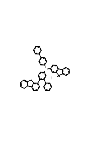 CC1(C)c2ccccc2-c2ccc(N(c3ccc(-c4ccccc4)cc3)c3ccc(-c4cccc5c4CC4=CC=CCC45)c(-c4ccccc4)c3)cc21